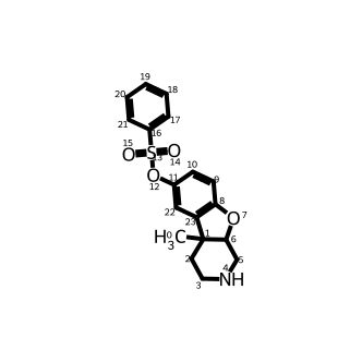 CC12CCNCC1Oc1ccc(OS(=O)(=O)c3ccccc3)cc12